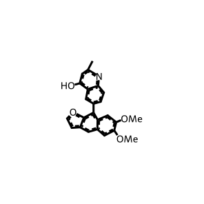 COc1cc2cc3ccoc3c(-c3ccc4nc(C)cc(O)c4c3)c2cc1OC